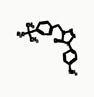 CC(C)(C)c1ccc(Cn2nnn(-c3ccc(N)cc3)c2=O)cc1